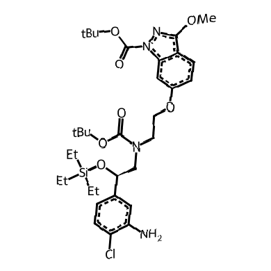 CC[Si](CC)(CC)O[C@@H](CN(CCOc1ccc2c(OC)nn(C(=O)OC(C)(C)C)c2c1)C(=O)OC(C)(C)C)c1ccc(Cl)c(N)c1